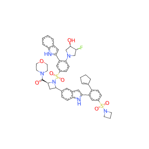 O=C([C@@H]1CC(c2ccc3[nH]c(-c4cc(S(=O)(=O)N5CCC5)ccc4C4=CCCC4)cc3c2)N1S(=O)(=O)c1ccc(N2C[C@@H](O)[C@@H](F)C2)c(-c2cc3ccccc3[nH]2)c1)N1CCOCC1